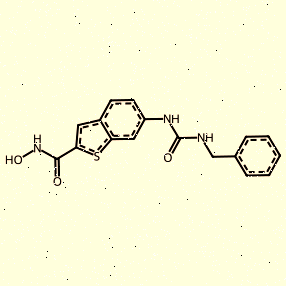 O=C(NCc1ccccc1)Nc1ccc2cc(C(=O)NO)sc2c1